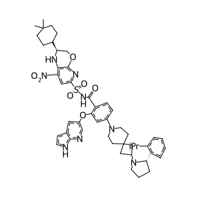 CC(C)c1ccccc1[C@@H]1CCCN1C1CC2(CCN(c3ccc(C(=O)NS(=O)(=O)c4cc([N+](=O)[O-])c5c(n4)OC[C@H](C4CCC(C)(C)CC4)N5)c(Oc4cnc5[nH]ccc5c4)c3)CC2)C1